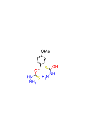 COc1ccc(COC(=S)NN)cc1.NNC(O)=S